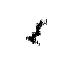 NC(=O)C1(C(=O)N(c2ccc(F)cc2)c2ccc(Oc3ccnc4cc(-c5ccc(C(=O)NCC(O)CO)cc5)sc34)c(F)c2)CC1